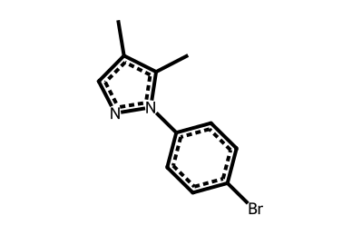 Cc1cnn(-c2ccc(Br)cc2)c1C